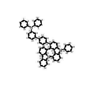 c1ccc(N(c2ccccc2)c2cccc(-c3ccc(-c4ccc5c6c4c4cccc7c8ccccc8n(c8cccc(c68)n5-c5ccccc5)c74)cc3)c2)cc1